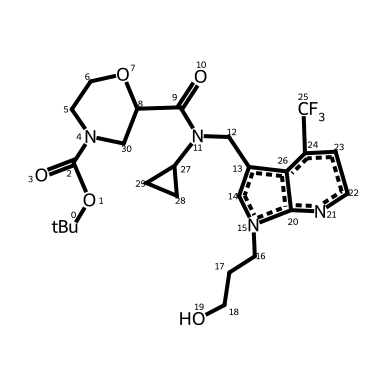 CC(C)(C)OC(=O)N1CCOC(C(=O)N(Cc2cn(CCCO)c3nccc(C(F)(F)F)c23)C2CC2)C1